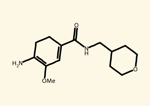 COC1=C(N)CCC(C(=O)NCC2CCOCC2)=C1